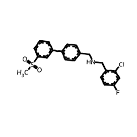 CS(=O)(=O)c1cccc(-c2ccc(CNCc3ccc(F)cc3Cl)cc2)c1